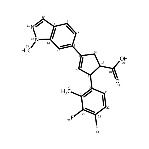 Cc1c(C2C=C(c3ccc4cnn(C)c4c3)CC2C(=O)O)ccc(F)c1F